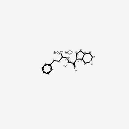 CCOC(=O)C(CCc1ccccc1)N[C@@H](C)C(=O)N1C2COCCC2C[C@H]1C(=O)O